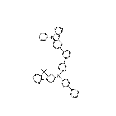 CC1(C)c2ccccc2-c2ccc(N(c3ccc(-c4ccccc4)cc3)c3ccc(-c4cccc(-c5ccc6c(c5)c5ccccc5n6-c5ccccc5)c4)cc3)cc21